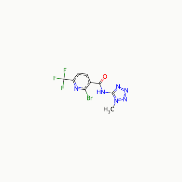 Cn1nnnc1NC(=O)c1ccc(C(F)(F)F)nc1Br